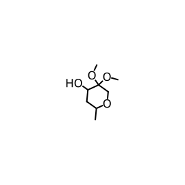 COC1(OC)COC(C)CC1O